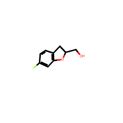 OCC1Cc2ccc(F)cc2O1